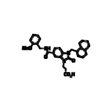 COc1ccccc1CNC(=O)c1ccc2c(c1)n(CCC(=O)O)c(=O)n2Cc1cccc2ccccc12